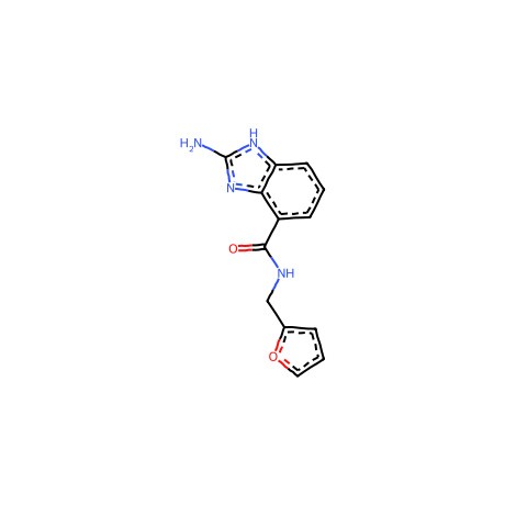 Nc1nc2c(C(=O)NCc3ccco3)cccc2[nH]1